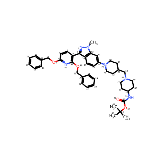 Cn1nc(-c2ccc(OCc3ccccc3)nc2OCc2ccccc2)c2ccc(N3CCC(CN4CCC(NC(=O)OC(C)(C)C)CC4)CC3)cc21